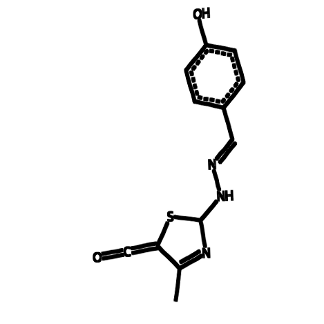 CC1=NC(NN=Cc2ccc(O)cc2)SC1=C=O